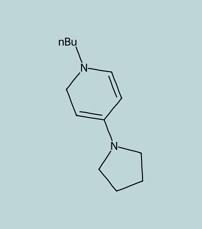 CCCCN1C=CC(N2CCCC2)=CC1